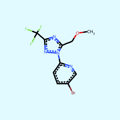 COCc1nc(C(F)(F)F)nn1-c1ccc(Br)cn1